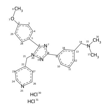 COc1ccc(-c2nc(-c3cccc(CN(C)C)c3)nn2Cc2ccncc2)cc1.Cl.Cl